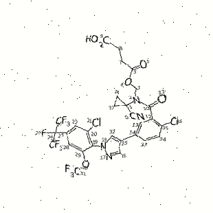 N#CC1(N(COC(=O)CCC(=O)O)C(=O)c2cc(-c3cnn(-c4c(Cl)cc(C(F)(C(F)(F)F)C(F)(F)F)cc4OC(F)(F)F)c3)ccc2Cl)CC1